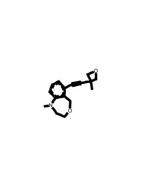 CN1CCOCc2c(C#CC3(C)COC3)cccc21